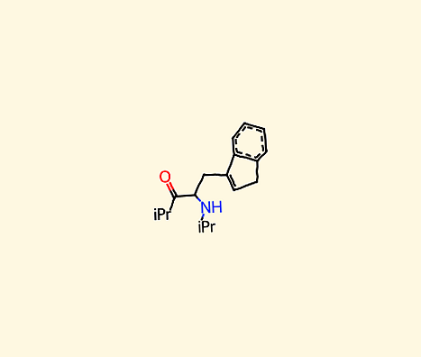 CC(C)NC(CC1=CCc2ccccc21)C(=O)C(C)C